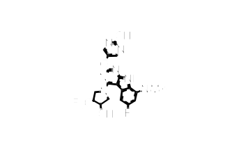 CNc1cc(F)cc2c1[nH]c1nc(Oc3cnc(C)nc3)nc(N3CC(C)C(C(F)(F)F)C3)c12